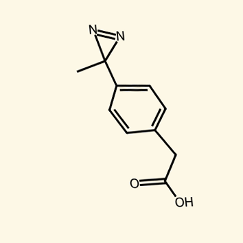 CC1(c2ccc(CC(=O)O)cc2)N=N1